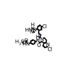 COC(=O)Nc1ccc(NC(=O)C2c3ccc(Cl)nc3CCN2C(=O)/C=C/c2cc(Cl)ccc2N2C=NNN2)cc1